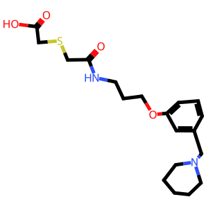 O=C(O)CSCC(=O)NCCCOc1cccc(CN2CCCCC2)c1